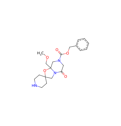 COCC12CN(C(=O)OCc3ccccc3)CC(=O)N1CC1(CCNCC1)O2